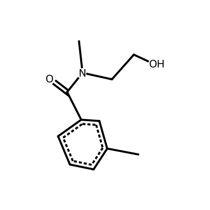 Cc1cccc(C(=O)N(C)CCO)c1